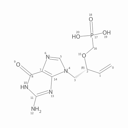 C=C[C@H](Cn1cnc2c(=O)[nH]c(N)nc21)OCP(=O)(O)O